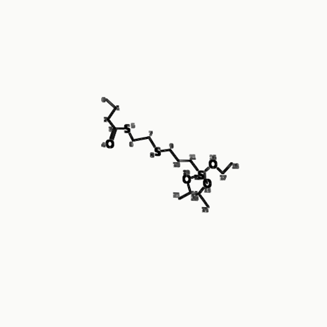 CCCC(=O)SCCSCCC[Si](OCC)(OCC)OCC